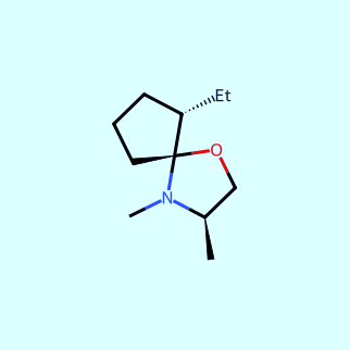 CC[C@H]1CCC[C@]12OC[C@@H](C)N2C